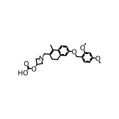 COc1ccc(COc2ccc3c(c2)CCC(CN2CC(OC(=O)O)C2)=C3C)c(OC)c1